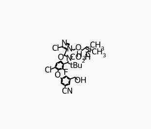 CC(C)(C)C(c1ccc(Cl)c(Oc2cc(C#N)cc(CO)c2)c1F)N(C(=O)O)C(=O)c1c(Cl)ncn1COCC[Si](C)(C)C